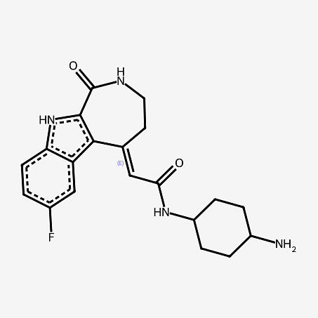 NC1CCC(NC(=O)/C=C2\CCNC(=O)c3[nH]c4ccc(F)cc4c32)CC1